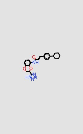 O=C(C=Cc1ccc(C2CCCCC2)cc1)Nc1cccc2c1OC(c1nnn[nH]1)CO2